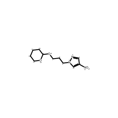 O=[N+]([O-])c1cnn(CCCOC2CCCCO2)c1